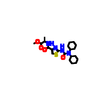 COC(=O)C(C)NC(=O)c1csc(NC(=O)N(C2CCCCC2)C2CCCCC2)n1